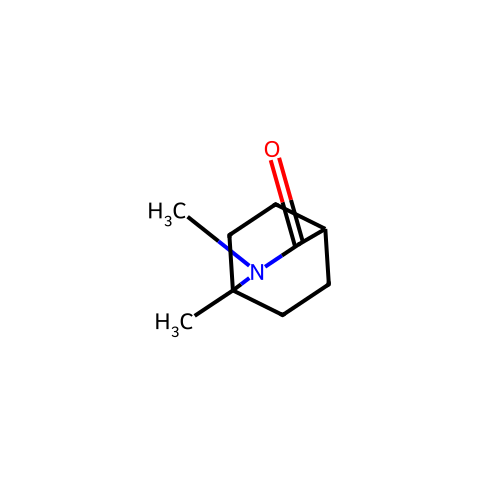 CN1C(=O)C2CCC1(C)CC2